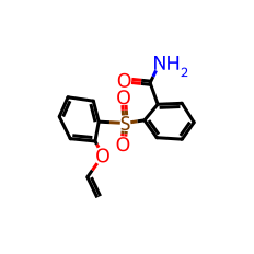 C=COc1ccccc1S(=O)(=O)c1ccccc1C(N)=O